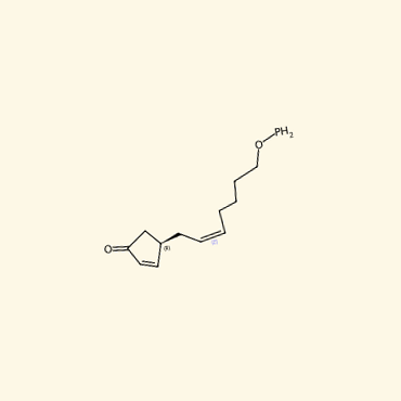 O=C1C=C[C@H](C/C=C\CCCCOP)C1